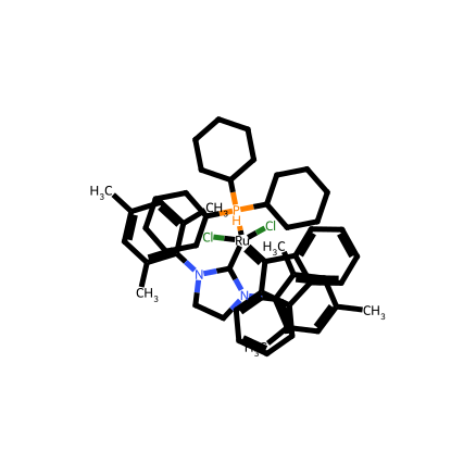 Cc1cc(C)c(N2CCN(c3c(C)cc(C)cc3C)[CH]2[Ru]([Cl])([Cl])(=[C]2c3ccccc3-c3ccccc32)[PH](C2CCCCC2)(C2CCCCC2)C2CCCCC2)c(C)c1